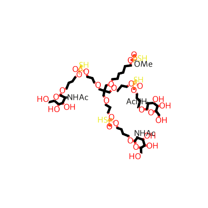 COP(=O)(S)OCCCCCCOCC(COCCCOP(=O)(S)OCCCCOC1OC(CO)C(O)C(O)C1NC(C)=O)(COCCCOP(=O)(S)OCCCCOC1OC(CO)C(O)C(O)C1NC(C)=O)COCCCOP(=O)(S)OCCCCOC1OC(CO)C(O)C(O)C1NC(C)=O